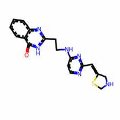 O=c1[nH]c(CCNc2ccnc(/C=C3/CNCS3)n2)nc2ccccc12